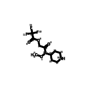 CON(C(=O)COC(=O)C(F)(F)F)C1CCNCC1